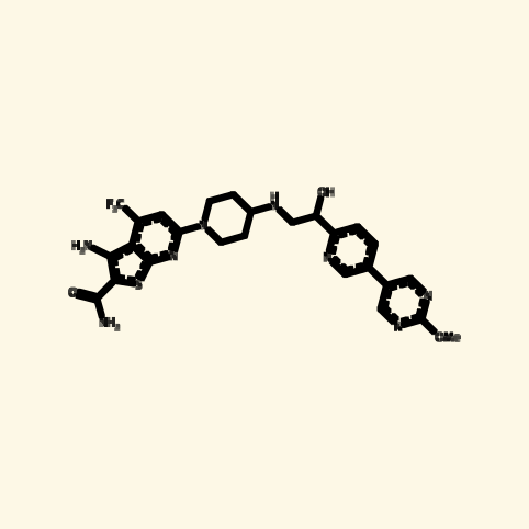 COc1ncc(-c2ccc(C(O)CNC3CCN(c4cc(C(F)(F)F)c5c(N)c(C(N)=O)sc5n4)CC3)nc2)cn1